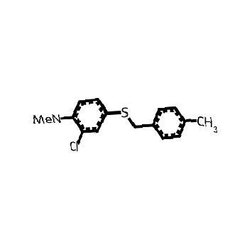 CNc1ccc(SCc2ccc(C)cc2)cc1Cl